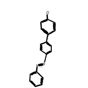 Clc1ccc(-c2ccc(/N=N/c3ccccc3)cc2)cc1